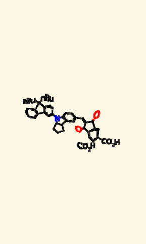 CCCCC1(CCCC)c2ccccc2-c2cc(N3c4ccc(C=C5C(=O)c6cc(C(=O)O)c(C(=O)O)cc6C5=O)cc4C4CCCC43)ccc21